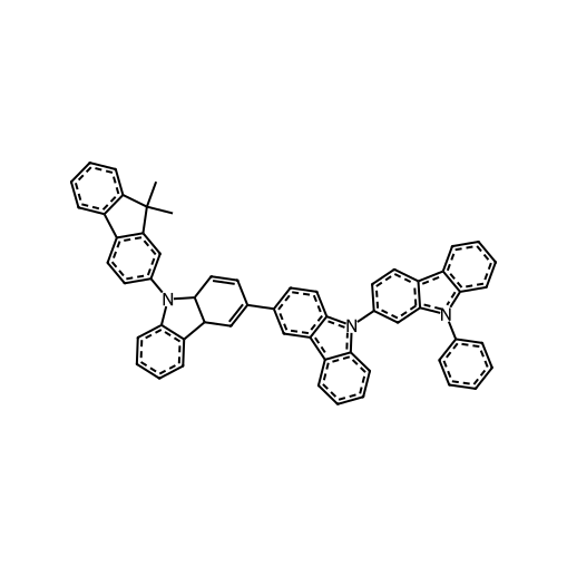 CC1(C)c2ccccc2-c2ccc(N3c4ccccc4C4C=C(c5ccc6c(c5)c5ccccc5n6-c5ccc6c7ccccc7n(-c7ccccc7)c6c5)C=CC43)cc21